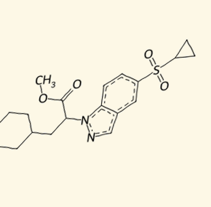 COC(=O)C(CC1CCOCC1)n1ncc2cc(S(=O)(=O)C3CC3)ccc21